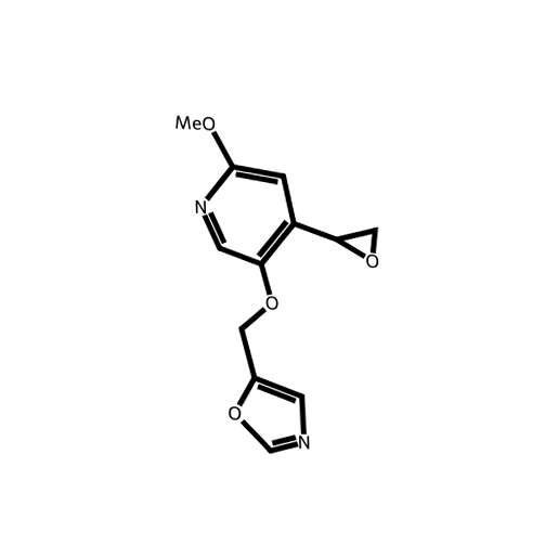 COc1cc(C2CO2)c(OCc2cnco2)cn1